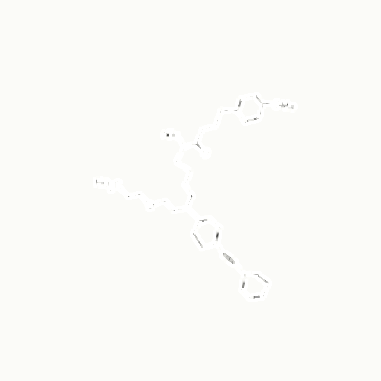 CCCCC(CCCC[C@H](CCOCCC(=O)O)c1ccc(C#Cc2ccccc2)cc1)C(=O)CCCc1ccc(OC)cc1